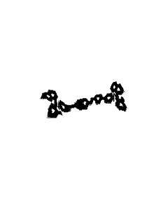 Cc1ccccc1N(c1ccc(-c2ccc(/C=C/c3ccc(-c4ccc(N(c5ccccc5C)c5cccc6ccccc56)cc4)cc3)cc2)cc1)c1cccc2ccccc12